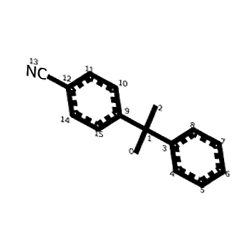 CC(C)(c1ccccc1)c1ccc(C#N)cc1